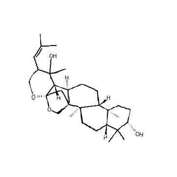 CC(C)=CC1CO[C@]23C[C@]4(CO2)[C@H](CC[C@@H]2[C@@]5(C)CC[C@H](O)C(C)(C)[C@@H]5CC[C@]24C)[C@H]3C1(C)O